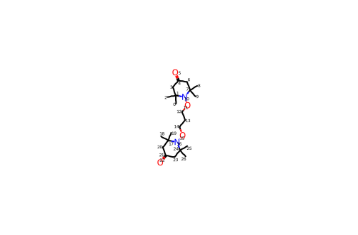 CC1(C)CC(=O)CC(C)(C)N1OCCCON1C(C)(C)CC(=O)CC1(C)C